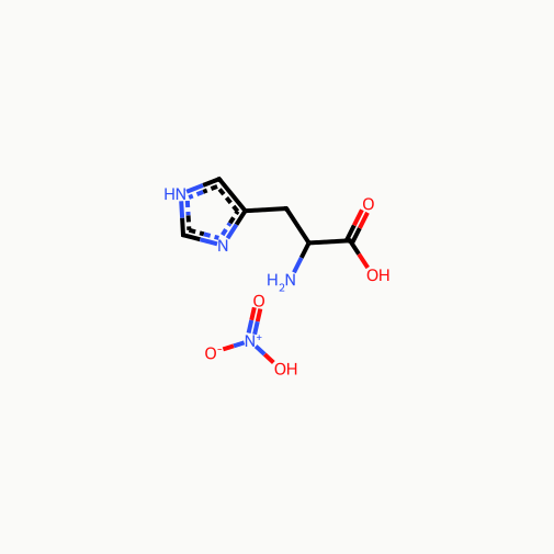 NC(Cc1c[nH]cn1)C(=O)O.O=[N+]([O-])O